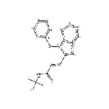 CC(C)(C)NC(=O)C=Cc1cc2ccccc2n1Cc1ccccc1